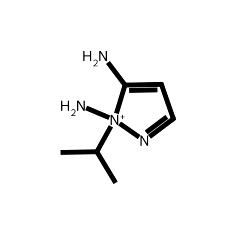 CC(C)[N+]1(N)N=CC=C1N